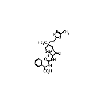 Cc1nnc(SCC2(C(=O)O)CS[C@@H]3C(NC(=O)NC(C(=O)O)c4ccccc4)C(=O)N3C2)s1